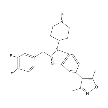 Cc1noc(C)c1-c1ccc2c(c1)nc(Cc1ccc(F)c(F)c1)n2C1CCN(C(C)C)CC1